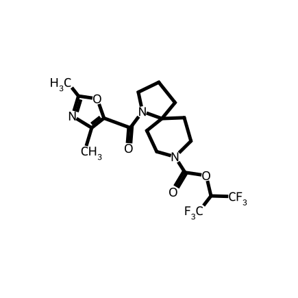 Cc1nc(C)c(C(=O)N2CCCC23CCN(C(=O)OC(C(F)(F)F)C(F)(F)F)CC3)o1